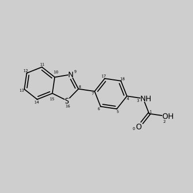 O=C(O)Nc1ccc(-c2nc3ccccc3s2)cc1